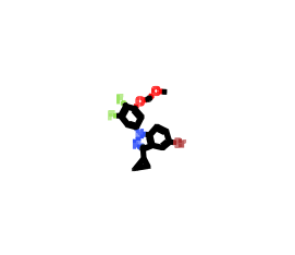 COCOc1cc(-n2nc(C3CC3)c3cc(Br)ccc32)cc(F)c1F